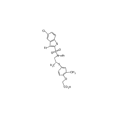 CCCN(CC(C)Sc1ccc(OCC(=O)O)c(C)c1)S(=O)(=O)c1sc2ccc(Cl)cc2c1CC